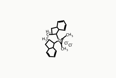 CC1CC2C=CC=CC2[CH]1[Zr+2]1([CH]2C(C)CC3C=CC=CC32)[CH](C)[CH]1C.[Cl-].[Cl-]